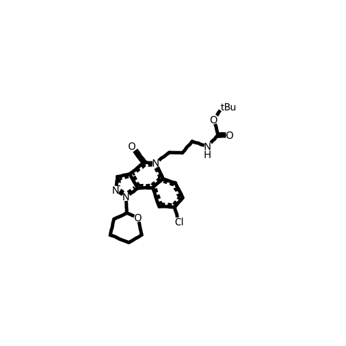 CC(C)(C)OC(=O)NCCCn1c(=O)c2cnn(C3CCCCO3)c2c2cc(Cl)ccc21